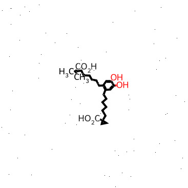 CC(C)(CCCCCCc1cc(O)c(O)cc1CCCCCCC1(C(=O)O)CC1)C(=O)O